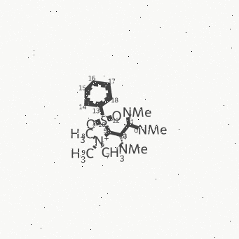 CN[C](NC)[C@H](NC)C([N+](C)(C)C)S(=O)(=O)c1ccccc1